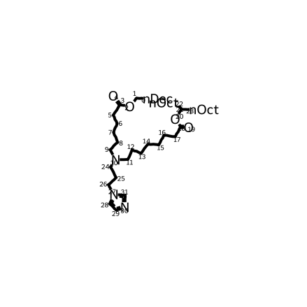 CCCCCCCCCCCOC(=O)CCCCCN(CCCCCCCC(=O)OC(CCCCCCCC)CCCCCCCC)CCCn1ccnc1